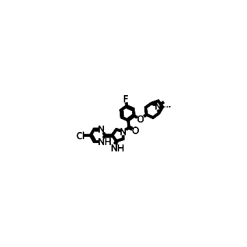 C[C@H]1CC2CC(Oc3cc(F)ccc3C(=O)N3CC(=N)/C(=C4/N=CC(Cl)=CN4)C3)CC1N2C